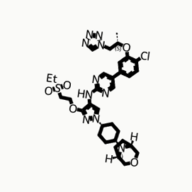 CCS(=O)(=O)CCOc1nn([C@H]2CC[C@H](N3[C@@H]4CC[C@H]3COC4)CC2)cc1Nc1ncc(-c2ccc(Cl)c(O[C@@H](C)Cn3cnnn3)c2)cn1